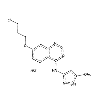 CC(=O)Oc1cc(Nc2ncnc3cc(OCCCCl)ccc23)n[nH]1.Cl